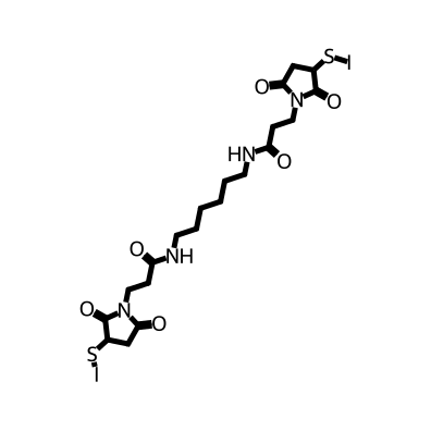 O=C(CCN1C(=O)CC(SI)C1=O)NCCCCCCNC(=O)CCN1C(=O)CC(SI)C1=O